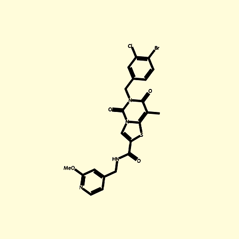 COc1cc(CNC(=O)c2cn3c(=O)n(Cc4ccc(Br)c(Cl)c4)c(=O)c(C)c3s2)ccn1